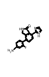 Nc1ccc(-c2ccc(-c3ncc[nH]3)c3c2CNC3=O)c(F)c1